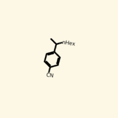 CCCCCCC(C)c1ccc(C#N)cc1